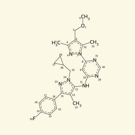 COCc1c(C)nn(-c2cc(Nc3c(C)c(-c4ccc(F)cc4)nn3CC3CC3)ncn2)c1C